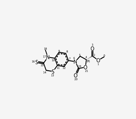 COC(=O)[C@H]1CN(c2ccc3c(c2)SCC(=S)N3C)C(=O)O1